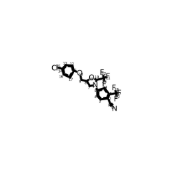 N#Cc1ccc(N2CC(COc3ccc(Cl)cc3)OC2C(F)(F)F)cc1C(F)(F)F